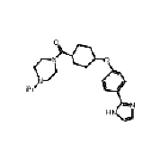 CC(C)N1CCN(C(=O)C2CCC(Oc3ccc(-c4ncc[nH]4)cc3)CC2)CC1